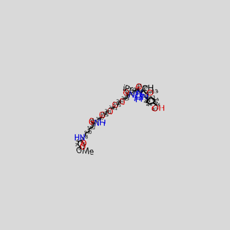 COC(=O)/C=C\C(=O)NCCCCCC(=O)NCCOCCOCCOCCOCCC(=O)N[C@H](C(=O)N[C@@H](C)C(=O)Nc1ccc(CO)cc1)C(C)C